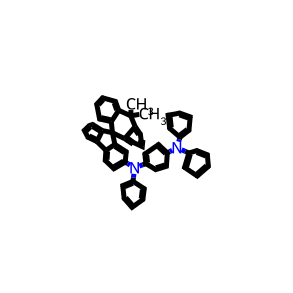 CC1(C)c2ccccc2C2(c3ccccc3-c3ccc(N(c4ccccc4)c4ccc(N(c5ccccc5)c5ccccc5)cc4)cc32)c2ccccc21